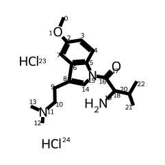 COc1ccc2c(c1)c(CCN(C)C)cn2C(=O)C(N)C(C)C.Cl.Cl